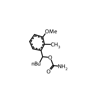 CCCCC(OC(N)=O)c1cccc(OC)c1C